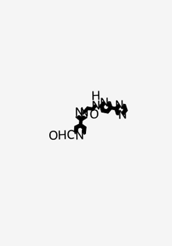 O=Cc1cc(-c2cnn(CC(=O)Nc3ccc(-c4cnccn4)cn3)c2)ccn1